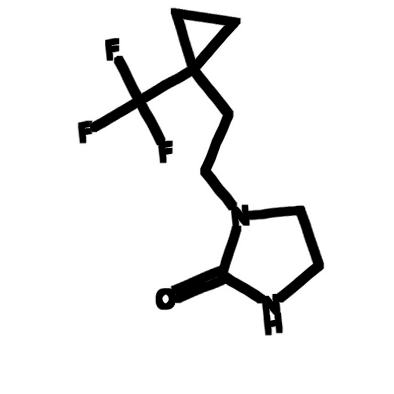 O=C1NCCN1CCC1(C(F)(F)F)CC1